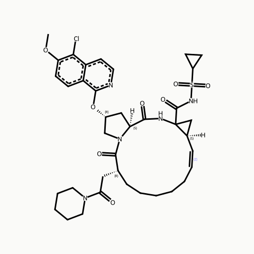 COc1ccc2c(O[C@@H]3C[C@H]4C(=O)NC5(C(=O)NS(=O)(=O)C6CC6)C[C@H]5/C=C\CCCCC[C@H](CC(=O)N5CCCCC5)C(=O)N4C3)nccc2c1Cl